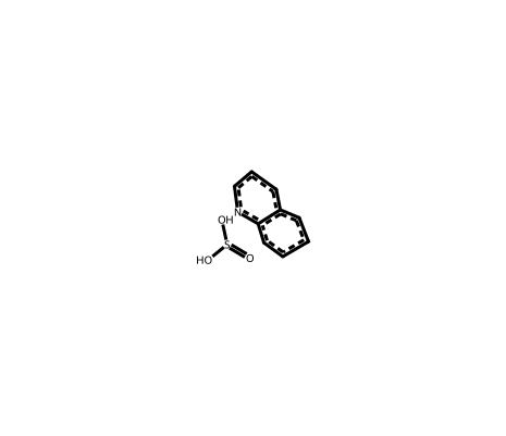 O=S(O)O.c1ccc2ncccc2c1